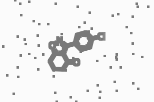 O=C1CCCc2onc(-c3ccc(Cl)cc3)c21